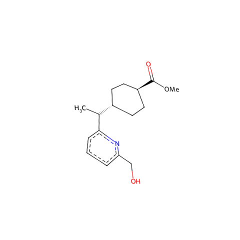 COC(=O)[C@H]1CC[C@H](C(C)c2cccc(CO)n2)CC1